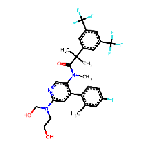 Cc1cc(F)ccc1-c1cc(N(CO)CCO)ncc1N(C)C(=O)C(C)(C)c1cc(C(F)(F)F)cc(C(F)(F)F)c1